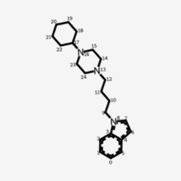 c1ccc2c(c1)ccn2CCCCN1CCN(C2CCCCC2)CC1